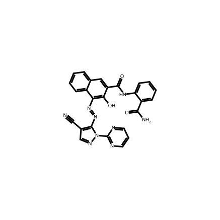 N#Cc1cnn(-c2ncccn2)c1/N=N/c1c(O)c(C(=O)Nc2ccccc2C(N)=O)cc2ccccc12